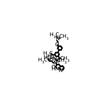 CCN(CC)CCOc1cccc(-c2cc(C(C)C)c(NC(=O)N(CCCC(C)C)c3cc4cccnc4[nH]c3=O)c(C(C)C)c2)c1